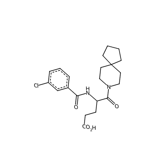 O=C(O)CCC(NC(=O)c1cccc(Cl)c1)C(=O)N1CCC2(CCCC2)CC1